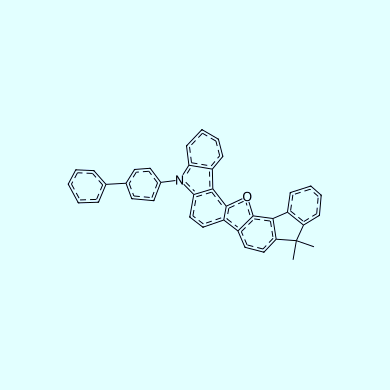 CC1(C)c2ccccc2-c2c1ccc1c2oc2c1ccc1c2c2ccccc2n1-c1ccc(-c2ccccc2)cc1